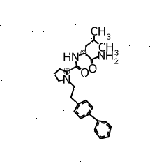 CC(C)C[C@H](NC(=O)[C@@H]1CCCN1CCc1ccc(-c2ccccc2)cc1)C(N)=O